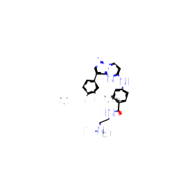 CCN(CC)CCNC(=O)c1ccc(Nc2ccn3ncc(-c4ccc(OC)c(OC)c4)c3n2)cc1